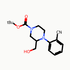 CC(C)(C)OC(=O)N1CCN(c2ccccc2C#N)C(CO)C1